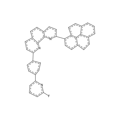 Fc1cccc(-c2ccc(-c3ccc4ccc5ccc(-c6ccc7ccc8cccc9ccc6c7c89)nc5c4n3)cc2)n1